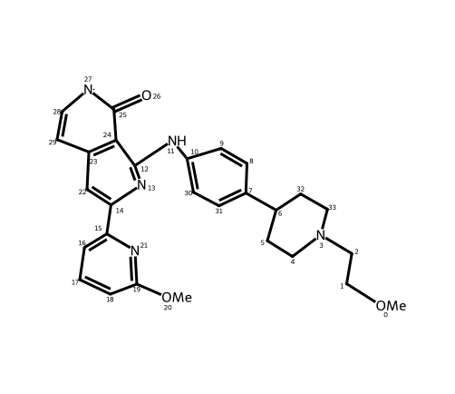 COCCN1CCC(c2ccc(Nc3nc(-c4cccc(OC)n4)cc4c3C(=O)[N]C=C4)cc2)CC1